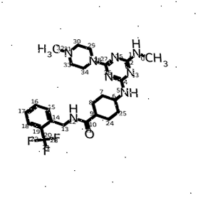 CNc1nc(NC2CCC(C(=O)NCc3ccccc3C(F)(F)F)CC2)nc(N2CCN(C)CC2)n1